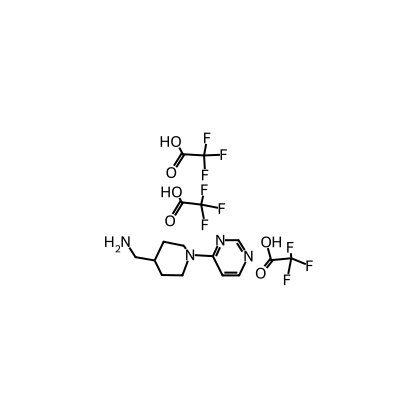 NCC1CCN(c2ccncn2)CC1.O=C(O)C(F)(F)F.O=C(O)C(F)(F)F.O=C(O)C(F)(F)F